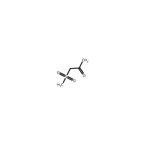 [CH2]C(=O)CS(C)(=O)=O